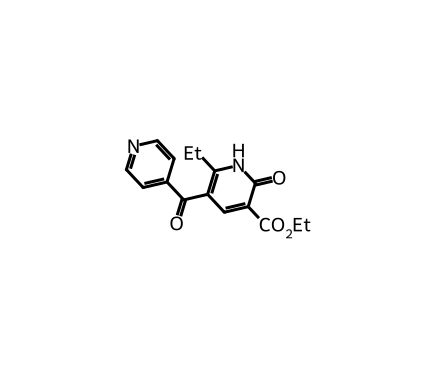 CCOC(=O)c1cc(C(=O)c2ccncc2)c(CC)[nH]c1=O